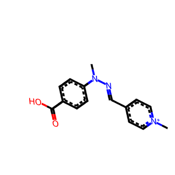 CN(/N=C/c1cc[n+](C)cc1)c1ccc(C(=O)O)cc1